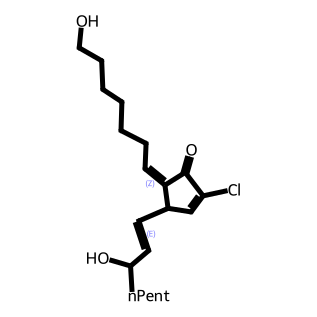 CCCCCC(O)/C=C/C1C=C(Cl)C(=O)/C1=C\CCCCCCO